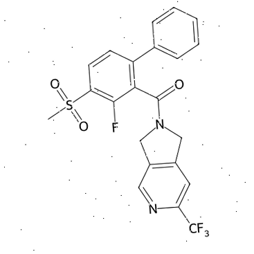 CS(=O)(=O)c1ccc(-c2ccccc2)c(C(=O)N2Cc3cnc(C(F)(F)F)cc3C2)c1F